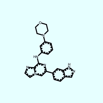 c1cc(Nc2nc(-c3ccc4cn[nH]c4c3)cn3ccnc23)cc(N2CCOCC2)c1